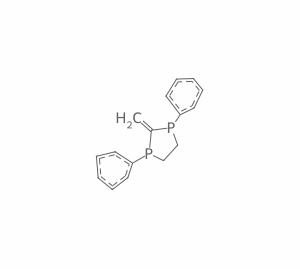 C=C1P(c2ccccc2)CCP1c1ccccc1